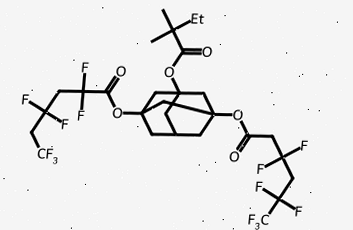 CCC(C)(C)C(=O)OC12CC3CC(OC(=O)CC(F)(F)CC(F)(F)C(F)(F)F)(C1)CC(OC(=O)C(F)(F)CC(F)(F)CC(F)(F)F)(C3)C2